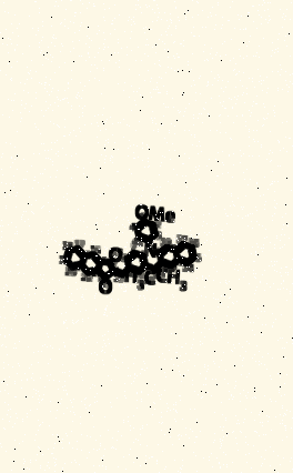 COc1ccc(N2c3ccc(C=C4C(=O)c5cc6ccccc6cc5C4=O)cc3C(C)(C)c3cc4ccccc4cc32)cc1